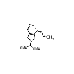 C=C/C=C\C1=C(C=C)CN(C(CCCC)CCCC)C1